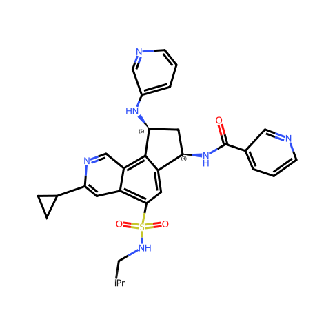 CC(C)CNS(=O)(=O)c1cc2c(c3cnc(C4CC4)cc13)[C@@H](Nc1cccnc1)C[C@H]2NC(=O)c1cccnc1